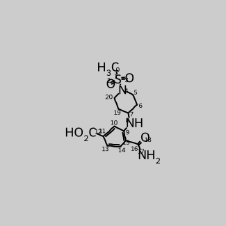 CS(=O)(=O)N1CCC(Nc2cc(C(=O)O)ccc2C(N)=O)CC1